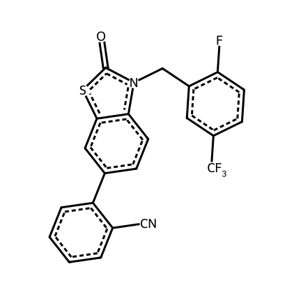 N#Cc1ccccc1-c1ccc2c(c1)sc(=O)n2Cc1cc(C(F)(F)F)ccc1F